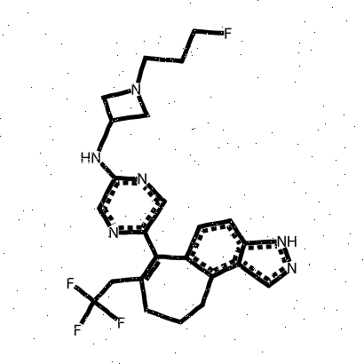 FCCCN1CC(Nc2cnc(C3=C(CC(F)(F)F)CCCc4c3ccc3[nH]ncc43)cn2)C1